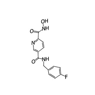 O=C(NCc1ccc(F)cc1)c1ccc(C(=O)NO)nc1